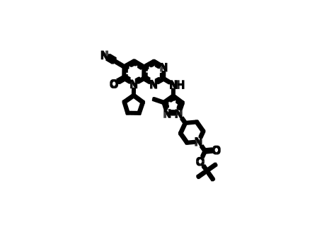 Cc1nn(C2CCN(C(=O)OC(C)(C)C)CC2)cc1Nc1ncc2cc(C#N)c(=O)n(C3CCCC3)c2n1